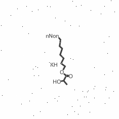 CCCCCCCCCCCCCCCCOC(=O)C(C)O.[KH]